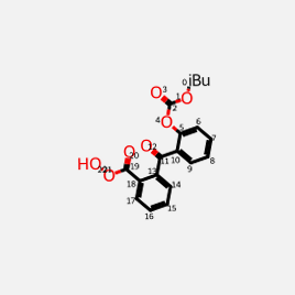 CCC(C)OC(=O)Oc1ccccc1C(=O)c1ccccc1C(=O)OO